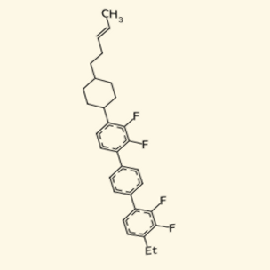 C/C=C/CCC1CCC(c2ccc(-c3ccc(-c4ccc(CC)c(F)c4F)cc3)c(F)c2F)CC1